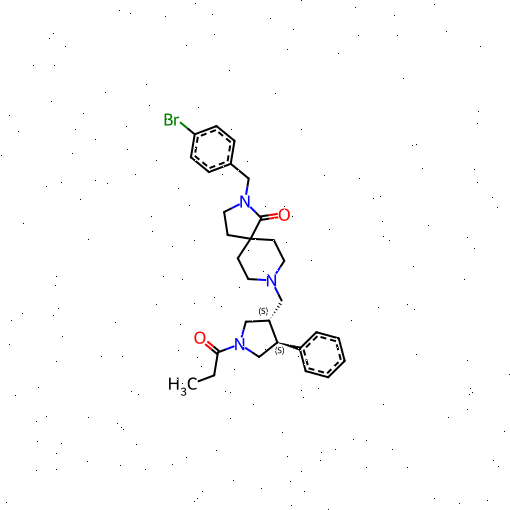 CCC(=O)N1C[C@H](CN2CCC3(CC2)CCN(Cc2ccc(Br)cc2)C3=O)[C@@H](c2ccccc2)C1